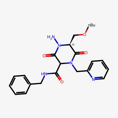 CCCCOC[C@H]1C(=O)N(Cc2ccccn2)C(C(=O)NCc2ccccc2)C(=O)N1N